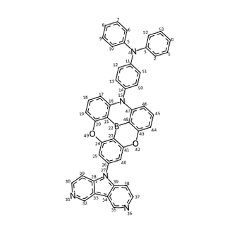 c1ccc(N(c2ccccc2)c2ccc(N3c4cccc5c4B4c6c(cc(-n7c8ccncc8c8cnccc87)cc6Oc6cccc3c64)O5)cc2)cc1